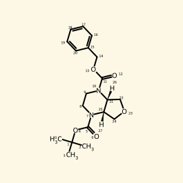 CC(C)(C)OC(=O)N1CCN(C(=O)OCc2ccccc2)[C@@H]2COC[C@@H]21